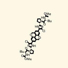 C=C(N[C@H](C(=O)N1CCC[C@H]1c1nc(Cl)c(-c2cc3c4c(c2)OCc2cc(-c5[nH]c([C@@H]6CCCN6C(=O)[C@@H](NC(=O)OC)[C@@H](C)CC)nc5Cl)cc(c2-4)OC3)[nH]1)[C@@H](C)CC)OC